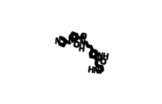 O=C1Nc2cc(/C=C/CNC(=O)c3cccn(Cc4ccncc4)c3=O)ccc2/C1=C/c1ccc[nH]1